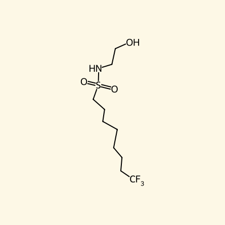 O=S(=O)(CCCCCCCC(F)(F)F)NCCO